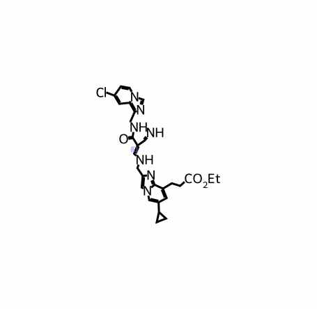 CCOC(=O)CCc1cc(C2CC2)cn2cc(CN/C=C(\C=N)C(=O)NCc3ncn4ccc(Cl)cc34)nc12